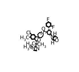 Cc1cc2c(cc1Cl)C1(CCN(C(=O)[C@@H]3C[C@H](N4C[C@@H]5C[C@H]4CO5)C[C@H]3c3ccc(F)cc3F)CC1)O[C@@H]2C(C)(C)c1nccn1C